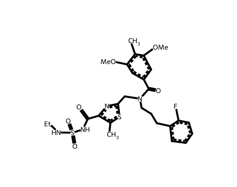 CCNS(=O)(=O)NC(=O)c1nc(CN(CCCc2ccccc2F)C(=O)c2cc(OC)c(C)c(OC)c2)sc1C